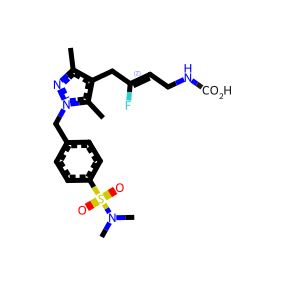 Cc1nn(Cc2ccc(S(=O)(=O)N(C)C)cc2)c(C)c1C/C(F)=C/CNC(=O)O